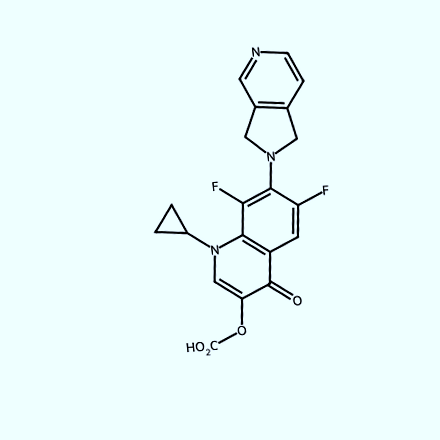 O=C(O)Oc1cn(C2CC2)c2c(F)c(N3Cc4ccncc4C3)c(F)cc2c1=O